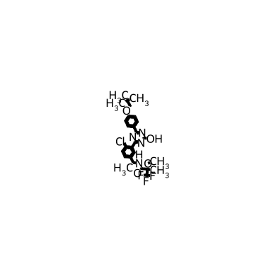 COC(C)(C(=O)NC(C)c1ccc(Cl)c(-c2nc(O)nc(-c3ccc(OCC(C)(C)C)cc3)n2)c1)C(F)(F)F